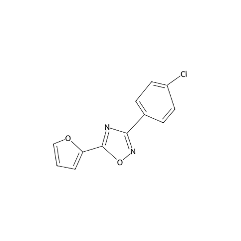 Clc1ccc(-c2noc(-c3ccco3)n2)cc1